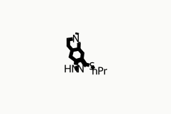 CCCSc1n[nH]c2c1CC1CN(C)CCC1C2